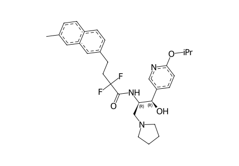 Cc1ccc2ccc(CCC(F)(F)C(=O)N[C@H](CN3CCCC3)[C@H](O)c3ccc(OC(C)C)nc3)cc2c1